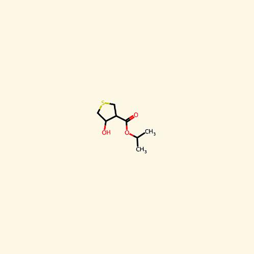 CC(C)OC(=O)C1CSCC1O